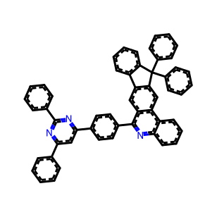 c1ccc(-c2cc(-c3ccc(-c4nc5ccccc5c5cc6c(cc45)-c4ccccc4C6(c4ccccc4)c4ccccc4)cc3)nc(-c3ccccc3)n2)cc1